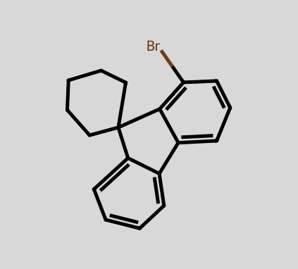 Brc1cccc2c1C1(CCCCC1)c1ccccc1-2